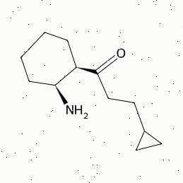 N[C@H]1CCCC[C@H]1C(=O)CCC1CC1